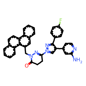 Nc1cc(-c2cn(C3=NN(Cc4cc5ccccc5c5ccc6ccccc6c45)C(=O)CC3)nc2-c2ccc(F)cc2)ccn1